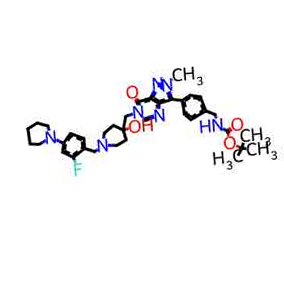 Cn1nc2c(=O)n(CC3(O)CCN(Cc4ccc(N5CCCCC5)cc4F)CC3)cnc2c1-c1ccc(CNC(=O)OC(C)(C)C)cc1